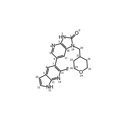 O=c1[nH]c2ncc(-c3cc4cc[nH]c4nc3F)cc2n1CC1CCOCC1